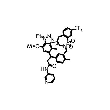 CCn1nnc2c(C)c(C(CC(=O)Nc3cccnc3)c3ccc(C)c(CN4C[C@@H](C)Cc5ccc(C(F)(F)F)cc5S4(=O)=O)c3)cc(OC)c21